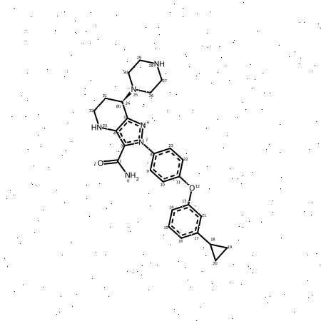 NC(=O)c1c2c(nn1-c1ccc(Oc3cccc(C4CC4)c3)cc1)[C@H](N1CCNCC1)CCN2